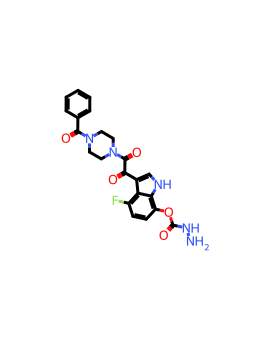 NNC(=O)Oc1ccc(F)c2c(C(=O)C(=O)N3CCN(C(=O)c4ccccc4)CC3)c[nH]c12